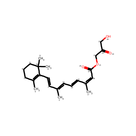 CC(C=CC1=C(C)CCCC1(C)C)=CC=C/C(C)=C\C(=O)OCC(=O)CO